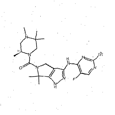 CCCc1ncc(F)c(Nc2n[nH]c3c2CN(C(=O)N2CC(C)(C)N(C)C[C@@H]2C)C3(C)C)n1